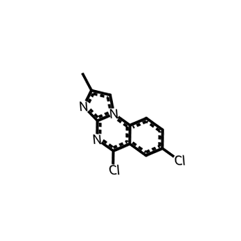 Cc1cn2c(n1)nc(Cl)c1cc(Cl)ccc12